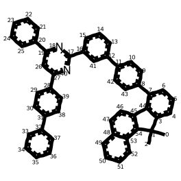 CC1(C)c2cccc(-c3ccc(-c4cccc(-c5nc(-c6ccccc6)cc(-c6ccc(-c7ccccc7)cc6)n5)c4)cc3)c2-c2ccc3ccccc3c21